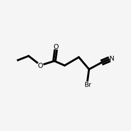 CCOC(=O)CCC(Br)C#N